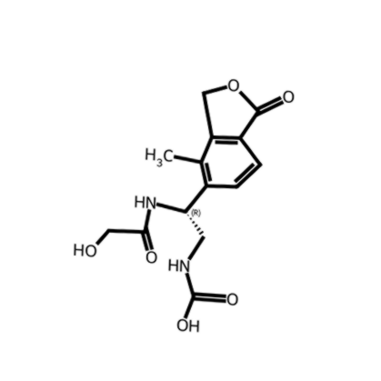 Cc1c([C@H](CNC(=O)O)NC(=O)CO)ccc2c1COC2=O